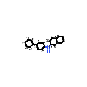 c1ccc2cc(Nc3ccc(C4CCCCC4)cc3)ccc2c1